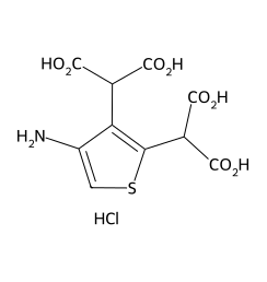 Cl.Nc1csc(C(C(=O)O)C(=O)O)c1C(C(=O)O)C(=O)O